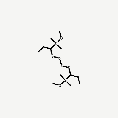 CCC(SSSSC(CC)[Si](C)(C)OC)[Si](C)(C)OC